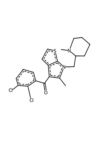 Cc1c(C(=O)c2cccc(Cl)c2Cl)c2ccsc2n1CC1CCCCN1C